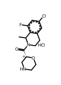 CC1c2c(F)cc(Cl)cc2CCN1C(=O)[C@H]1CNCCO1.Cl